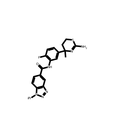 CC(C)n1nnc2cc(C(=O)Nc3cc(C4(C)CCSC(N)=N4)ccc3F)ccc21